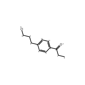 CCC(=O)c1ccc(CCCCl)cc1